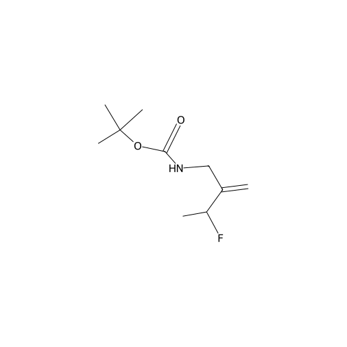 C=C(CNC(=O)OC(C)(C)C)C(C)F